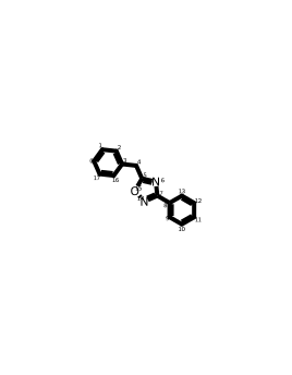 c1ccc(Cc2nc(-c3ccccc3)no2)cc1